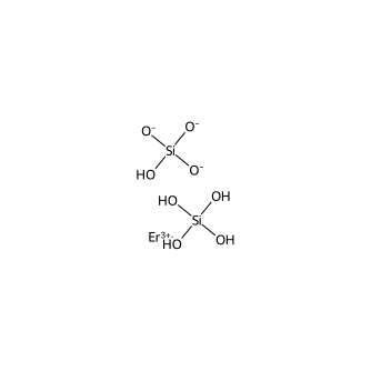 O[Si](O)(O)O.[Er+3].[O-][Si]([O-])([O-])O